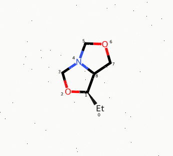 CC[C@H]1OCN2COCC12